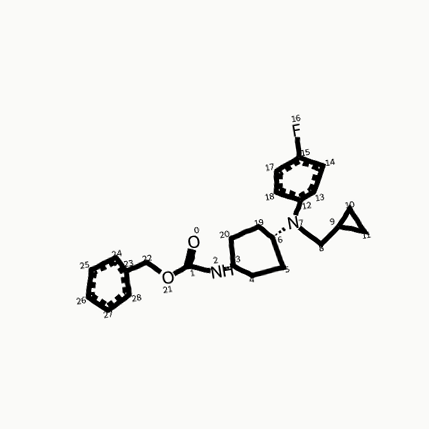 O=C(N[C@H]1CC[C@@H](N(CC2CC2)c2ccc(F)cc2)CC1)OCc1ccccc1